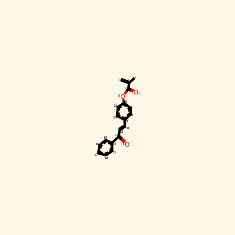 C=C(C)C(=O)Oc1ccc(/C=C/C(=O)c2ccccc2)cc1